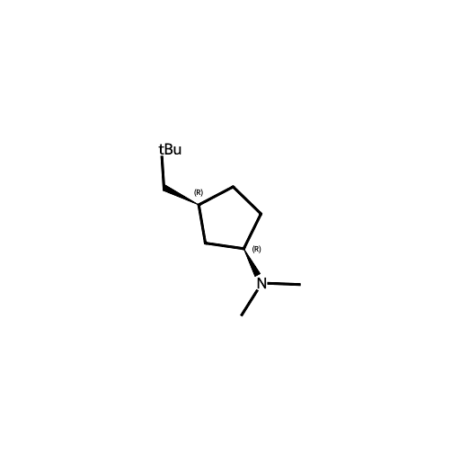 CN(C)[C@@H]1CC[C@H](CC(C)(C)C)C1